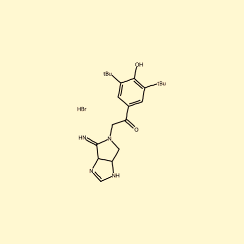 Br.CC(C)(C)c1cc(C(=O)CN2CC3NC=NC3C2=N)cc(C(C)(C)C)c1O